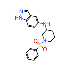 O=S(=O)(c1ccccc1)N1CCCC(Nc2ccc3[nH]ncc3c2)C1